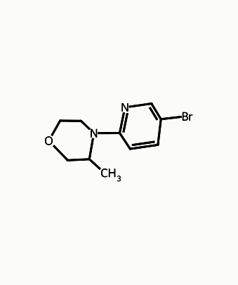 CC1COCCN1c1ccc(Br)cn1